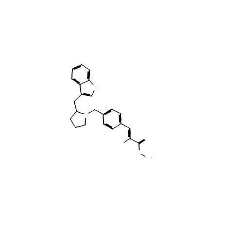 O=C(NO)C(F)=Cc1ccc(CN2CCCC2Cc2c[nH]c3ccccc23)cc1